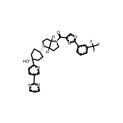 O=C(c1coc(-c2cccc(C(F)(F)F)c2)n1)N1CC[C@H]2[C@@H]1CCN2[C@H]1CC[C@](O)(c2ccc(-c3ncccn3)cn2)CC1